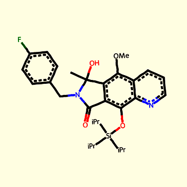 COc1c2c(c(O[Si](C(C)C)(C(C)C)C(C)C)c3ncccc13)C(=O)N(Cc1ccc(F)cc1)C2(C)O